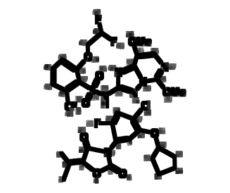 CC(C)=C1OC(=O)N(c2cc(OC3CCCC3)c(Cl)cc2F)C1=O.COc1cnc(OC)n2nc(NS(=O)(=O)c3c(OCC(F)F)cccc3C(F)(F)F)nc12